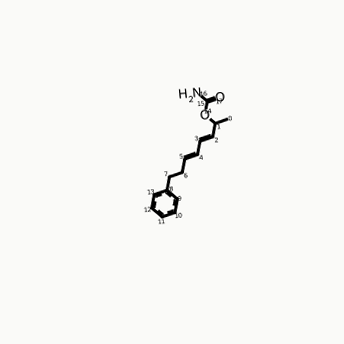 CC(/C=C/C=C/CCc1ccccc1)OC(N)=O